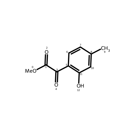 COC(=O)C(=O)c1ccc(C)cc1O